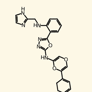 C1=CCCC(C2=COC=C(Nc3nnc(-c4ccccc4NCc4ncc[nH]4)o3)O2)=C1